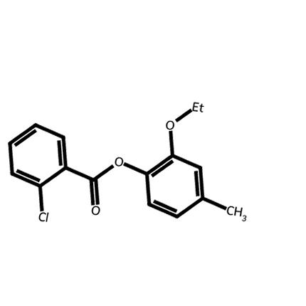 CCOc1cc(C)ccc1OC(=O)c1ccccc1Cl